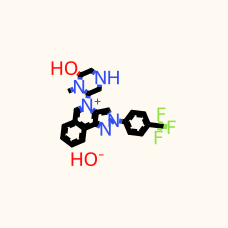 CN1C(O)CNCC1[n+]1cc2ccccc2c2nn(-c3ccc(C(F)(F)F)cc3)cc21.[OH-]